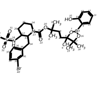 CC(C)(CCC1(C)OB(c2ccccc2O)OC1(C)C)OC(=O)N1CCCC(NS(C)(=O)=O)C1Cc1cccc(Br)c1